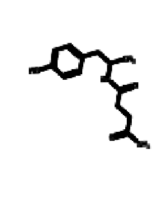 CC(Cc1ccc(O)cc1)NC(=O)CCC(N)=O